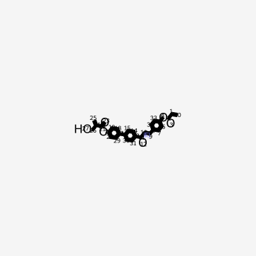 C=CC(=O)Oc1ccc(/C=C/C(=O)c2ccc(-c3ccc(OC(=O)C(=C)CO)cc3)cc2)cc1